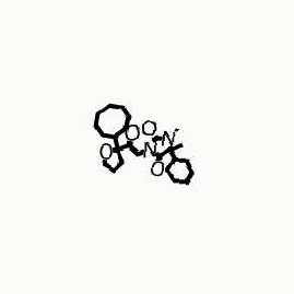 CN1C(=O)N(CC(=O)C2(C3CCCCCCC3)CCCO2)C(=O)C1(C)C1CCCCC1